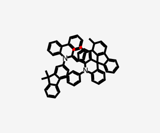 CC1C=CC2=C(C1c1ccc(N(c3ccc4c(c3)C(C)(C)c3ccccc3-4)c3ccccc3-c3ccccc3)cc1)C1(c3ccccc32)c2ccccc2N(c2ccccc2)c2ccccc21